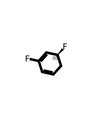 FC1=C[C@@H](F)CC=C1